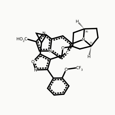 O=C(O)c1cn2ccc(N3[C@@H]4CC[C@H]3CC(OCc3c(-c5ccccc5OC(F)(F)F)noc3C3CC3)C4)cc2n1